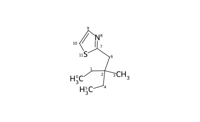 CCC(C)(CC)Cc1nccs1